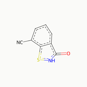 N#Cc1cccc2c(=O)[nH]sc12